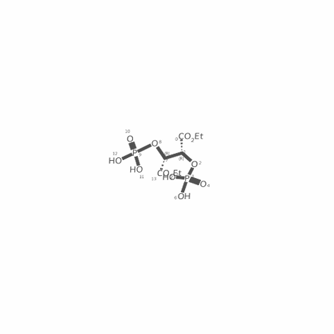 CCOC(=O)[C@H](OP(=O)(O)O)[C@@H](OP(=O)(O)O)C(=O)OCC